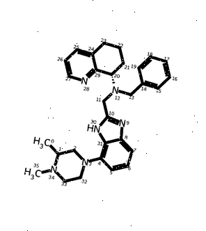 CC1CN(c2cccc3nc(CN(Cc4ccccc4)[C@H]4CCCc5cccnc54)[nH]c23)CCN1C